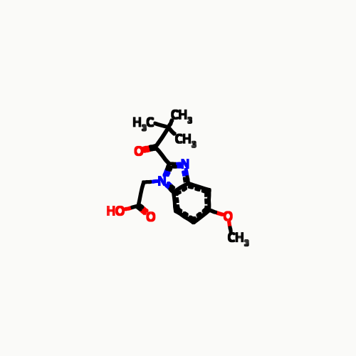 COc1ccc2c(c1)nc(C(=O)C(C)(C)C)n2CC(=O)O